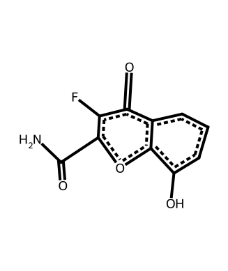 NC(=O)c1oc2c(O)cccc2c(=O)c1F